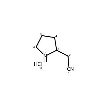 Cl.N#CCC1CCCN1